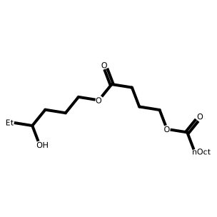 CCCCCCCCC(=O)OCCCC(=O)OCCCC(O)CC